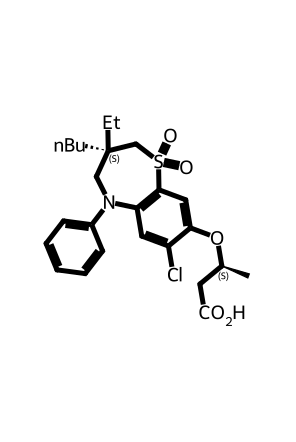 CCCC[C@@]1(CC)CN(c2ccccc2)c2cc(Cl)c(O[C@@H](C)CC(=O)O)cc2S(=O)(=O)C1